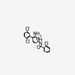 Nc1nc(NC(=O)c2ccccc2Cl)ccc1-c1cc(Cl)ccc1Cl